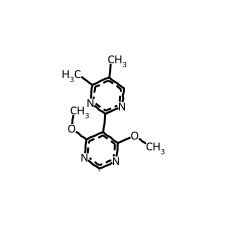 COc1n[c]nc(OC)c1-c1ncc(C)c(C)n1